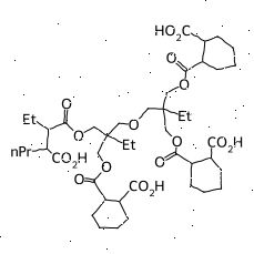 CCCC(C(=O)O)C(CC)C(=O)OCC(CC)(COCC(CC)(COC(=O)C1CCCCC1C(=O)O)COC(=O)C1CCCCC1C(=O)O)COC(=O)C1CCCCC1C(=O)O